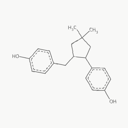 CC1(C)CC(Cc2ccc(O)cc2)C(c2ccc(O)cc2)C1